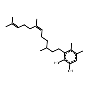 CC(C)=CCCC(C)=CCCC(C)CCc1c(C)c(C)cc(O)c1O